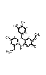 CCc1cc(Cl)ccc1Nc1nc(=O)c(OC)cn1Cc1ccc(F)c(Cl)c1